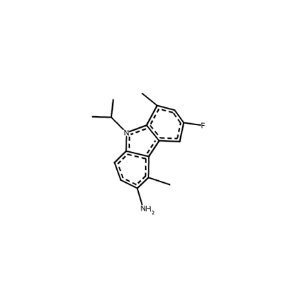 Cc1c(N)ccc2c1c1cc(F)cc(C)c1n2C(C)C